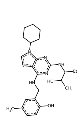 CCC(Nc1nc(NCc2cc(C)ccc2O)c2ncn(C3CCCCC3)c2n1)C(C)O